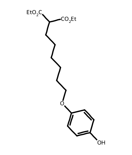 CCOC(=O)C(CCCCCCOc1ccc(O)cc1)C(=O)OCC